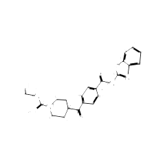 CCNC(=O)N1CCC(C(=O)c2ccc(C(=O)Nc3nc4ccccc4s3)cc2)CC1